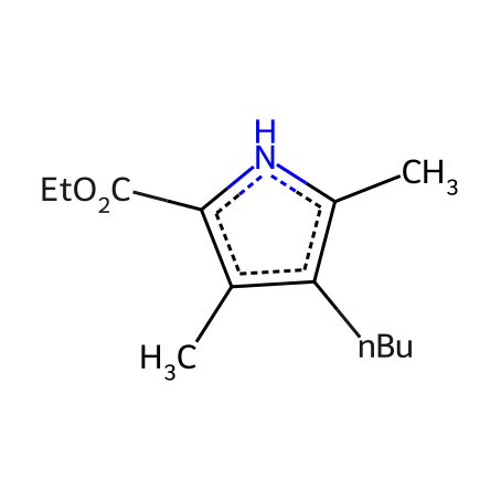 CCCCc1c(C)[nH]c(C(=O)OCC)c1C